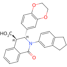 O=C(O)[C@@H]1c2ccccc2C(=O)N(c2ccc3c(c2)CCC3)[C@H]1c1ccc2c(c1)OCCO2